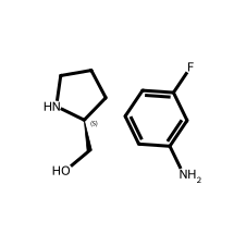 Nc1cccc(F)c1.OC[C@@H]1CCCN1